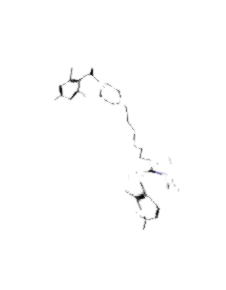 Cc1cc(C)c(C(=O)N2CCN(CCCCCCN/C(=N/C#N)Nc3ccc(C)nc3C)CC2)c(C)c1